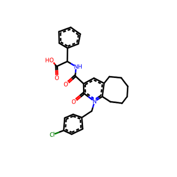 O=C(NC(C(=O)O)c1ccccc1)c1cc2c(n(Cc3ccc(Cl)cc3)c1=O)CCCCCC2